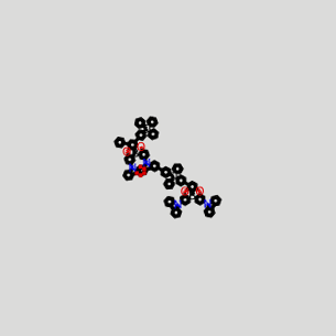 c1ccc(-c2cc(-c3ccc([Si](c4ccccc4)(c4ccccc4)c4ccccc4)cc3)c3c4c2Oc2ccc(-n5c6ccccc6c6ccccc65)cc2B4c2cc(-n4c5ccccc5c5cc(-c6ccc([Si](c7ccccc7)(c7ccccc7)c7ccc(-c8ccc9c%10c8Oc8cc(-n%11c%12ccccc%12c%12ccccc%12%11)ccc8B%10c8ccc(-n%10c%11ccccc%11c%11ccccc%11%10)cc8O9)cc7)cc6)ccc54)ccc2O3)cc1